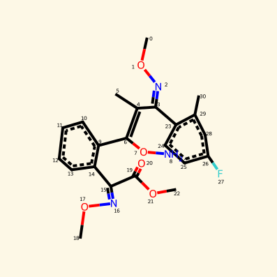 CO/N=C(\C(C)=C(/ON)c1ccccc1/C(=N\OC)C(=O)OC)c1ccc(F)cc1C